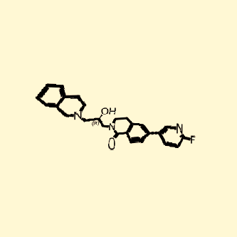 O=C1c2ccc(-c3ccc(F)nc3)cc2CCN1C[C@H](O)CN1CCc2ccccc2C1